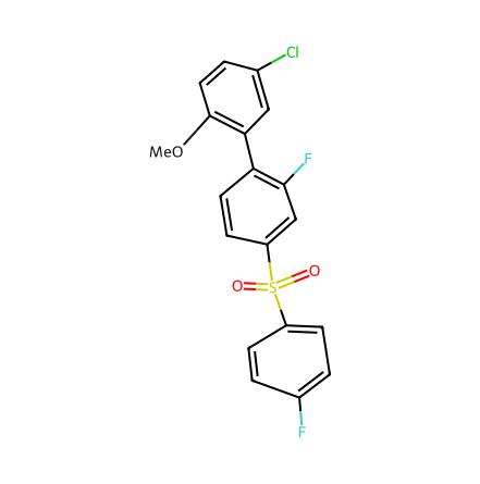 COc1ccc(Cl)cc1-c1ccc(S(=O)(=O)c2ccc(F)cc2)cc1F